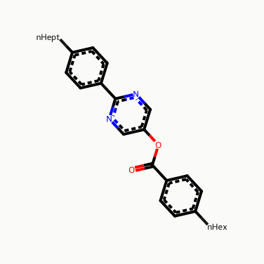 CCCCCCCc1ccc(-c2ncc(OC(=O)c3ccc(CCCCCC)cc3)cn2)cc1